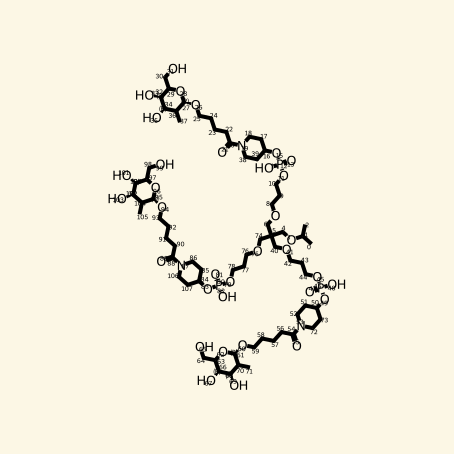 CC(C)OCC(COCCCOP(=O)(O)OC1CCN(C(=O)CCCCO[C@@H]2OC(CO)[C@H](O)[C@H](O)C2C)CC1)(COCCCOP(=O)(O)OC1CCN(C(=O)CCCCO[C@@H]2OC(CO)[C@H](O)[C@H](O)C2C)CC1)COCCCOP(=O)(O)OC1CCN(C(=O)CCCCO[C@@H]2OC(CO)[C@H](O)[C@H](O)C2C)CC1